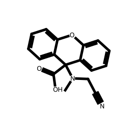 CN(CC#N)C1(C(=O)O)c2ccccc2Oc2ccccc21